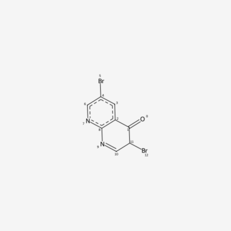 O=C1c2cc(Br)cnc2N=CC1Br